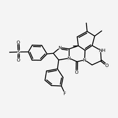 CC1=CC2(C)C3=NC(c4ccc(S(C)(=O)=O)cc4)C(c4cccc(F)c4)N3C(=O)N3CC(=O)NC(=C32)C1C